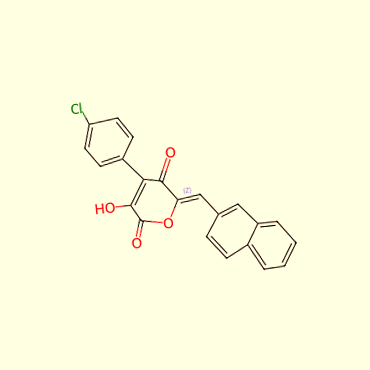 O=C1O/C(=C\c2ccc3ccccc3c2)C(=O)C(c2ccc(Cl)cc2)=C1O